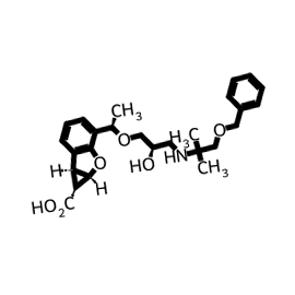 C[C@@H](OC[C@H](O)CNC(C)(C)COCc1ccccc1)c1cccc2c1O[C@H]1[C@H](C(=O)O)[C@@H]21